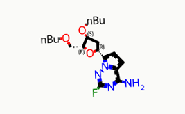 CCCCOC[C@H]1O[C@@H](c2ccc3c(N)nc(F)nn23)C[C@@H]1OCCCC